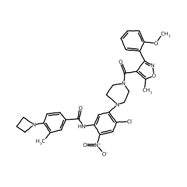 COc1ccccc1-c1noc(C)c1C(=O)N1CCN(c2cc(NC(=O)c3ccc(N4CCC4)c(C)c3)c([N+](=O)[O-])cc2Cl)CC1